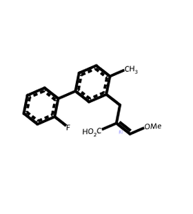 CO/C=C(\Cc1cc(-c2ccccc2F)ccc1C)C(=O)O